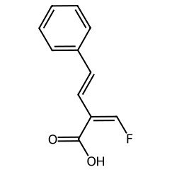 O=C(O)C(C=Cc1ccccc1)=CF